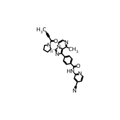 CC#CC(=O)N1CCC[C@H]1c1nc(-c2ccc(C(=O)Nc3cc(C#N)ccn3)cc2)c2c(C)nccn12